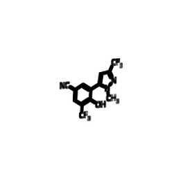 Cn1nc(C(F)(F)F)cc1-c1cc(C#N)cc(C(F)(F)F)c1O